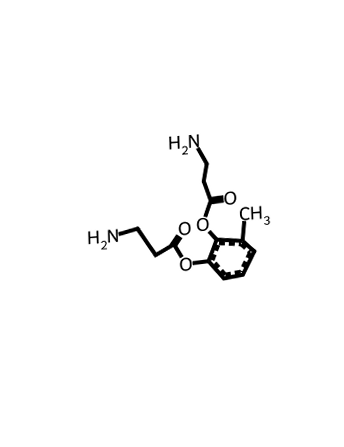 Cc1cccc(OC(=O)CCN)c1OC(=O)CCN